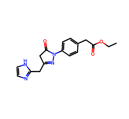 CCOC(=O)Cc1ccc(N2N=C(Cc3ncc[nH]3)CC2=O)cc1